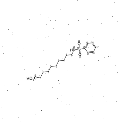 O=C(O)CCCCCCCCCNS(=O)(=O)c1ccccc1